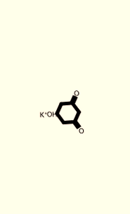 O=C1CCCC(=O)C1.[K+].[OH-]